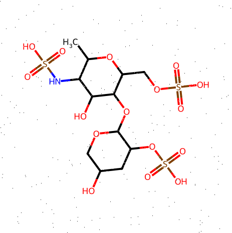 CC1OC(COS(=O)(=O)O)C(OC2OCC(O)CC2OS(=O)(=O)O)C(O)C1NS(=O)(=O)O